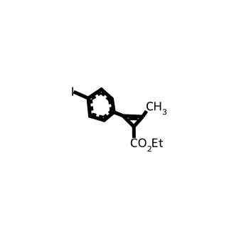 CCOC(=O)C1C(C)=C1c1ccc(I)cc1